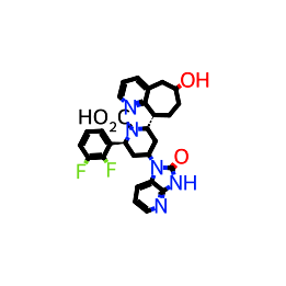 O=C(O)N1C([C@H]2CCC(O)Cc3cccnc32)CC(n2c(=O)[nH]c3ncccc32)C[C@H]1c1cccc(F)c1F